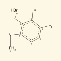 Br.Cc1ccc(CP)c(C)c1C